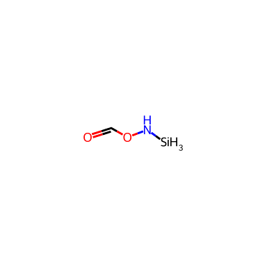 O=CON[SiH3]